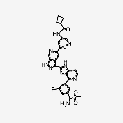 CS(=O)(=O)C(N)c1cc(F)cc(-c2nccc3[nH]c(-c4n[nH]c5cnc(-c6cncc(NC(=O)C7CCC7)c6)cc45)cc23)c1